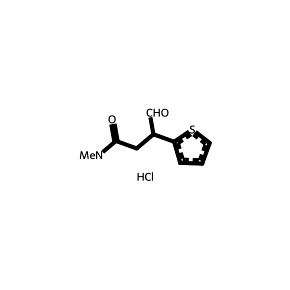 CNC(=O)CC(C=O)c1cccs1.Cl